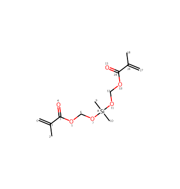 C=C(C)C(=O)OCO[Si](C)(C)OCOC(=O)C(=C)C